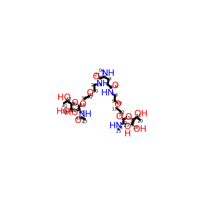 CNC(CCC(=O)NCCOCCOC(OC(CO)C(C)O)C(O)NC)C(=O)NCCOCCOC(OC(CO)C(C)O)C(O)NC(C)=O